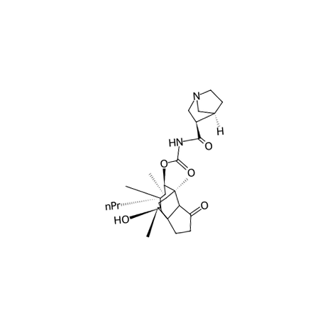 CCC[C@]1(C)C[C@@H](OC(=O)NC(=O)[C@H]2CN3CC[C@@H]2C3)[C@@]2(C)C3C(=O)CCC3(CC[C@H]2C)[C@@H](C)[C@@H]1O